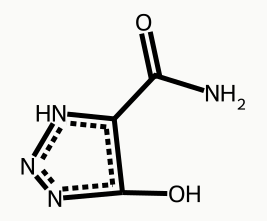 NC(=O)c1[nH]nnc1O